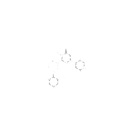 COc1ccccc1[C@@H]1CN(c2nc(-c3ccncc3)cc(=O)n2C)CCO1